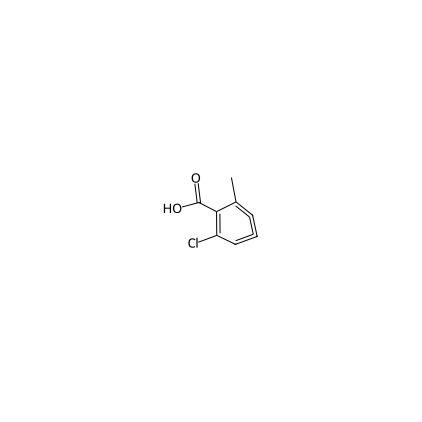 CC1=C=C=CC(Cl)=C1C(=O)O